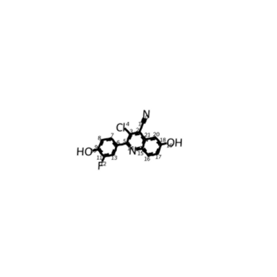 N#Cc1c(Cl)c(-c2ccc(O)c(F)c2)nc2ccc(O)cc12